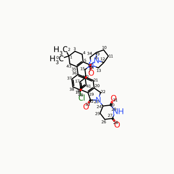 CC1(C)CCC(C(=O)N2C3CCC2CN(Cc2ccc4c(c2)CN(C2CCC(=O)NC2=O)C4=O)C3)=C(c2ccc(Cl)cc2)C1